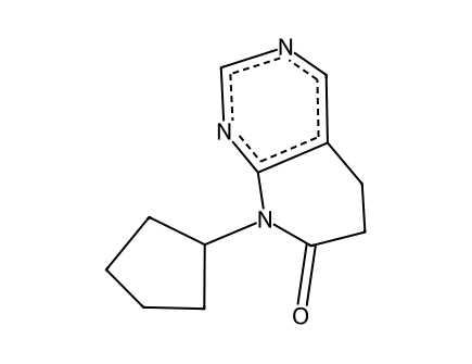 O=C1CCc2cncnc2N1C1CCCC1